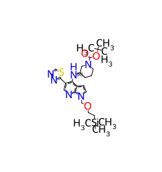 CC(C)(C)OC(=O)N1CCC[C@@H](Nc2c(-c3nncs3)cnc3c2ccn3COCC[Si](C)(C)C)C1